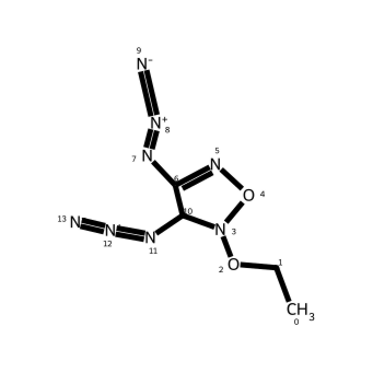 CCON1ON=C(N=[N+]=[N-])C1N=[N+]=[N-]